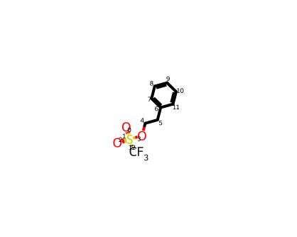 O=S(=O)(OCCc1ccccc1)C(F)(F)F